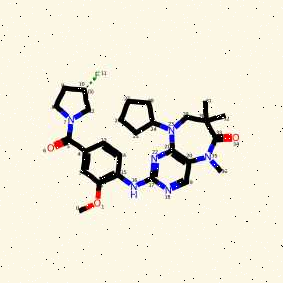 COc1cc(C(=O)N2CC[C@H](F)C2)ccc1Nc1ncc2c(n1)N(C1CCCC1)CC(C)(C)C(=O)N2C